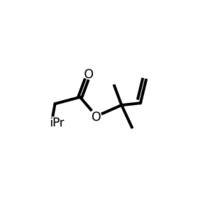 C=CC(C)(C)OC(=O)CC(C)C